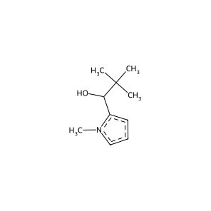 Cn1cccc1C(O)C(C)(C)C